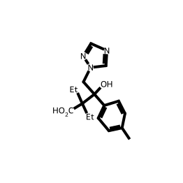 CCC(CC)(C(=O)O)C(O)(Cn1cncn1)c1ccc(C)cc1